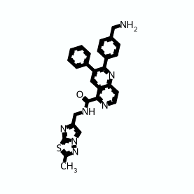 Cc1nn2cc(CNC(=O)c3nccc4nc(-c5ccc(CN)cc5)c(-c5ccccc5)cc34)nc2s1